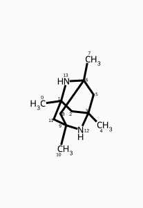 CC12CC3(C)CC(C)(CC(C)(C1)N3)N2